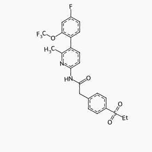 CCS(=O)(=O)c1ccc(CC(=O)Nc2ccc(-c3ccc(F)cc3OC(F)(F)F)c(C)n2)cc1